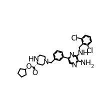 Nc1ncc(-c2cccc(CN3CCN[C@@H](C(=O)OC4CCCC4)C3)c2)nc1NCc1c(Cl)cccc1Cl